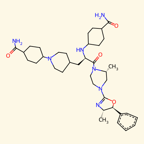 C[C@@H]1N=C(N2CCN(C(=O)[C@@H](CC3CCN(C4CCC(C(N)=O)CC4)CC3)NC3CCC(C(N)=O)CC3)[C@H](C)C2)O[C@H]1c1ccccc1